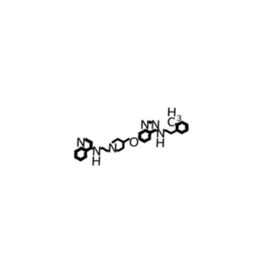 Cc1ccccc1CCNc1ncnc2cc(OCC3CCN(CCNc4ccnc5ccccc45)CC3)ccc12